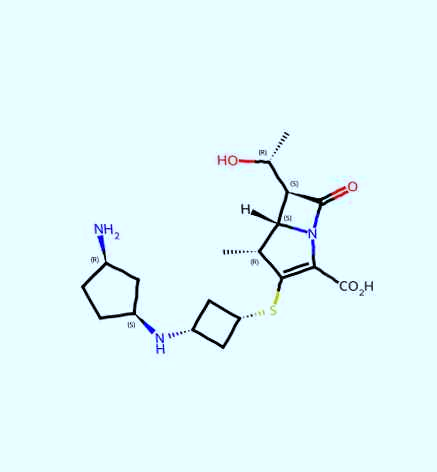 C[C@@H](O)[C@H]1C(=O)N2C(C(=O)O)=C(S[C@H]3C[C@@H](N[C@H]4CC[C@@H](N)C4)C3)[C@H](C)[C@H]12